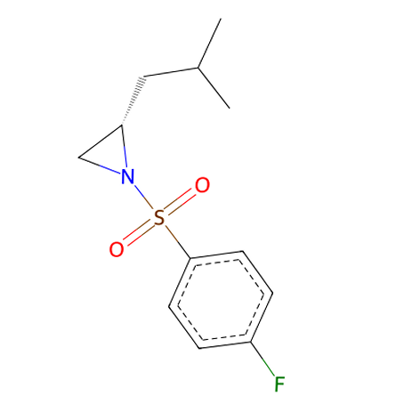 CC(C)C[C@H]1CN1S(=O)(=O)c1ccc(F)cc1